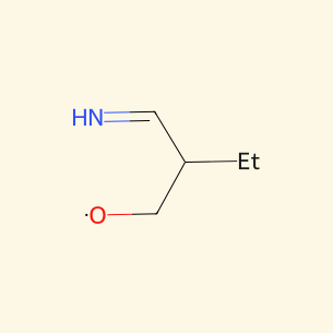 CCC(C=N)C[O]